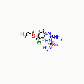 CCOc1ccc(/N=C(/N)NC(N)=O)cc1Cl